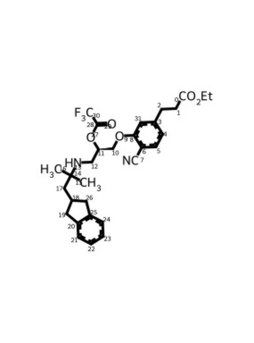 CCOC(=O)CCc1ccc(C#N)c(OC[C@@H](CNC(C)(C)CC2Cc3ccccc3C2)OC(=O)C(F)(F)F)c1